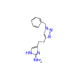 Nc1nc(CCc2cn(Cc3ccccc3)nn2)c[nH]1